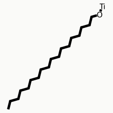 CCCCCCCCCCCCCCCCCC[O][Ti]